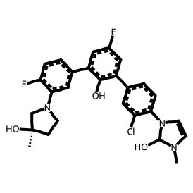 CN1C=CN(c2ccc(-c3cc(F)cc(-c4ccc(F)c(N5CC[C@@](C)(O)C5)c4)c3O)cc2Cl)C1O